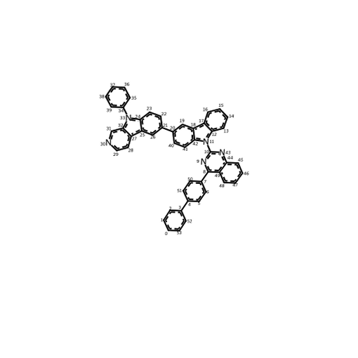 c1ccc(-c2ccc(-c3nc(-n4c5ccccc5c5cc(-c6ccc7c(c6)c6ccncc6n7-c6ccccc6)ccc54)nc4ccccc34)cc2)cc1